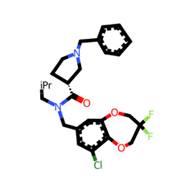 CC(C)CN(Cc1cc(Cl)c2c(c1)OCC(F)(F)CO2)C(=O)[C@@H]1CCN(Cc2ccccc2)C1